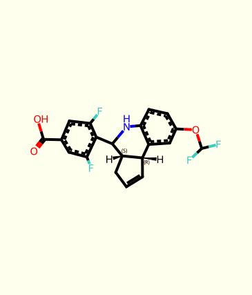 O=C(O)c1cc(F)c(C2Nc3ccc(OC(F)F)cc3[C@@H]3C=CC[C@H]23)c(F)c1